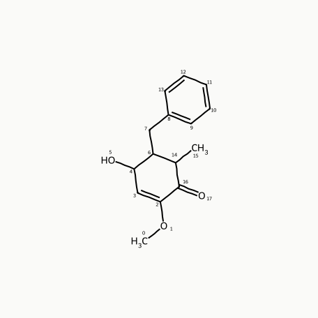 COC1=CC(O)C(Cc2ccccc2)C(C)C1=O